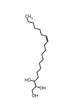 CCCCCC/C=C\CCCCCCCCC(O)[C@@H](O)CO